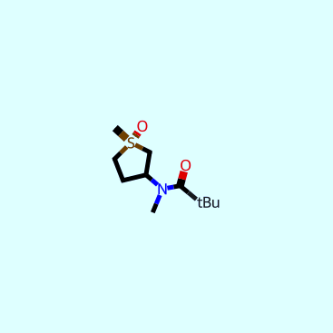 C=S1(=O)CCC(N(C)C(=O)C(C)(C)C)C1